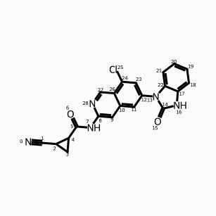 N#CC1CC1C(=O)Nc1cc2cc(-n3c(=O)[nH]c4ccccc43)cc(Cl)c2cn1